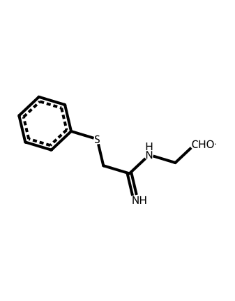 N=C(CSc1ccccc1)NC[C]=O